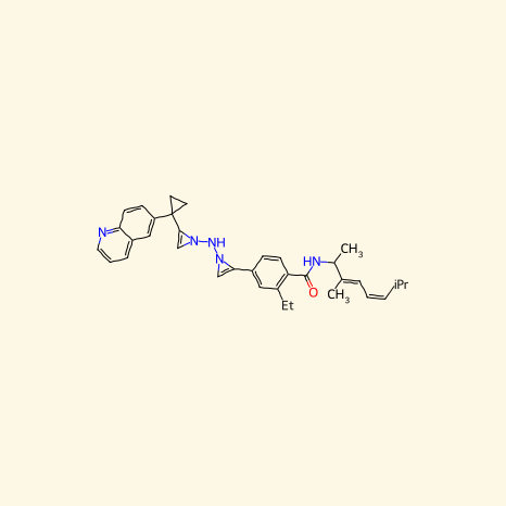 CCc1cc(C2=CN2NN2C=C2C2(c3ccc4ncccc4c3)CC2)ccc1C(=O)NC(C)/C(C)=C/C=C\C(C)C